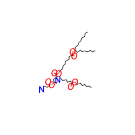 CCCCCCCCC(CCCCCCCC)OC(=O)CCCCCCCOC(=O)C1CC(OC(=O)CCN(C)C)CN1CCCCCC(=O)OCCCCCCC